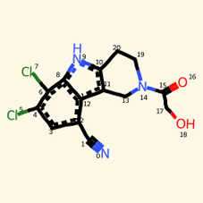 N#Cc1cc(Cl)c(Cl)c2[nH]c3c(c12)CN(C(=O)CO)CC3